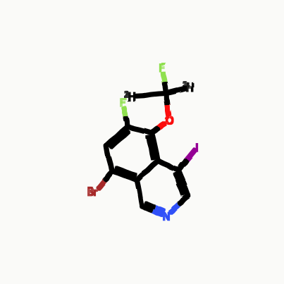 [2H]C([2H])(F)Oc1c(F)cc(Br)c2cncc(I)c12